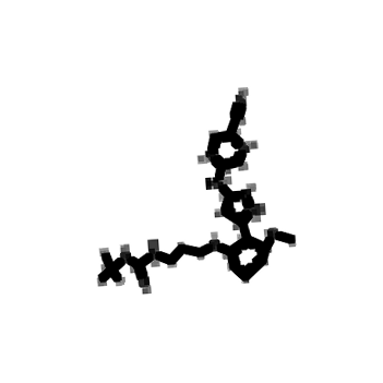 COc1cccc(OCCCNC(=O)OC(C)(C)C)c1-c1cc(Nc2cnc(C#N)cn2)n[nH]1